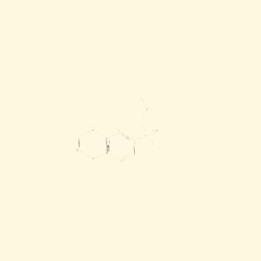 CCOP(=O)(O)c1ccc2c(n1)CCNC2